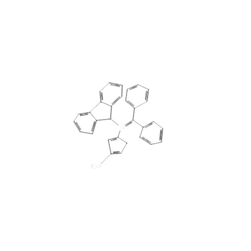 CC(C)(C)C1=CC[C]([Ti](=[C](c2ccccc2)c2ccccc2)[CH]2c3ccccc3-c3ccccc32)=C1